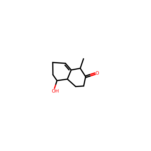 CC1C(=O)CCC2C1=CCCC2O